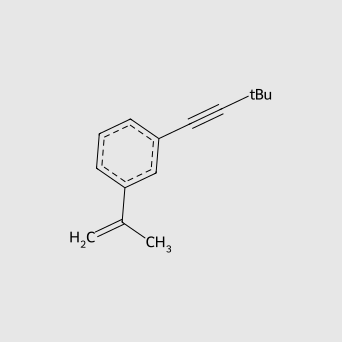 C=C(C)c1cccc(C#CC(C)(C)C)c1